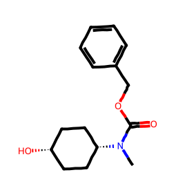 CN(C(=O)OCc1ccccc1)[C@H]1CC[C@@H](O)CC1